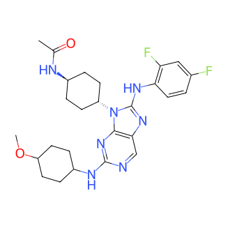 COC1CCC(Nc2ncc3nc(Nc4ccc(F)cc4F)n([C@H]4CC[C@H](NC(C)=O)CC4)c3n2)CC1